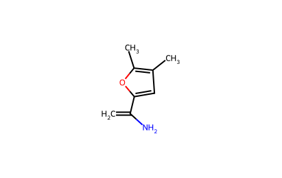 C=C(N)c1cc(C)c(C)o1